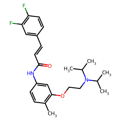 Cc1ccc(NC(=O)C=Cc2ccc(F)c(F)c2)cc1OCCN(C(C)C)C(C)C